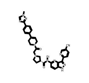 CCN(C(=O)[C@@H]1CCN(CC(=O)N2CC=C(c3ccc(-c4ncn(C)n4)cc3)CC2)C1)c1ccc2[nH]nc(-c3ccc(C#N)cn3)c2n1